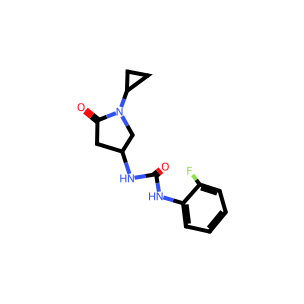 O=C(Nc1ccccc1F)NC1CC(=O)N(C2CC2)C1